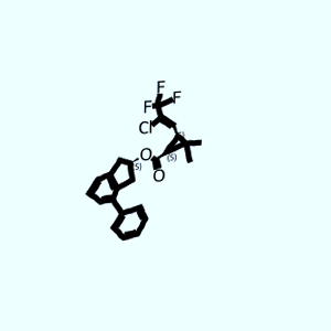 CC1(C)[C@H](C=C(Cl)C(F)(F)F)[C@@H]1C(=O)O[C@H]1Cc2cccc(-c3ccccc3)c2C1